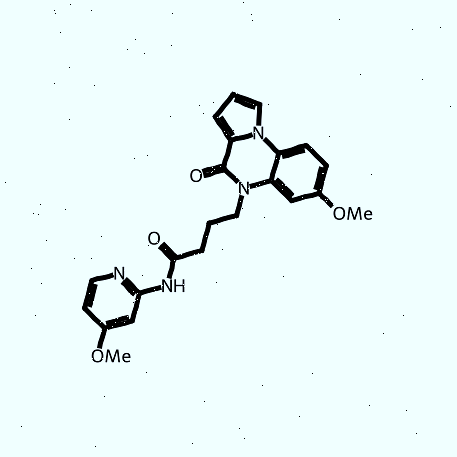 COc1ccnc(NC(=O)CCCn2c(=O)c3cccn3c3ccc(OC)cc32)c1